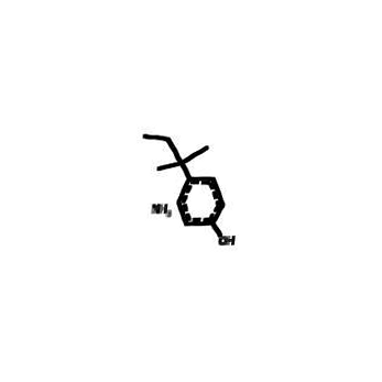 CCC(C)(C)c1ccc(O)cc1.N